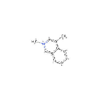 Cc1c[n+](C)cc2ccccc12